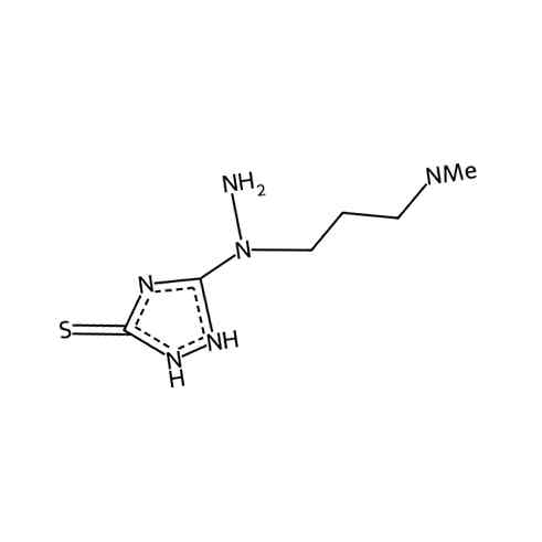 CNCCCN(N)c1nc(=S)[nH][nH]1